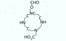 O=COCN1CCCNCCN(CC(=O)O)CCCNCC1